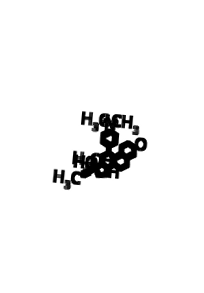 CC#CC1(O)CC[C@H]2[C@@H]3CCC4=CC(=O)CCC4=C3C(c3ccc(N(C)C)cc3)C[C@@]21C